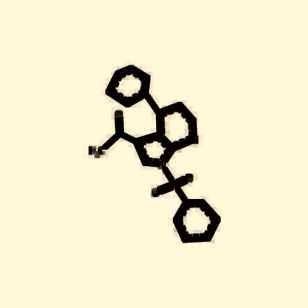 CC(=O)c1cn(S(=O)(=O)c2ccccc2)c2nccc(-c3ccccc3)c12